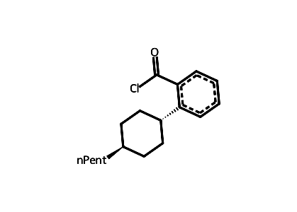 CCCCC[C@H]1CC[C@H](c2ccccc2C(=O)Cl)CC1